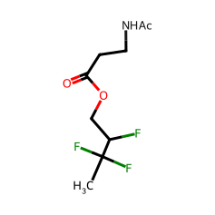 CC(=O)NCCC(=O)OCC(F)C(C)(F)F